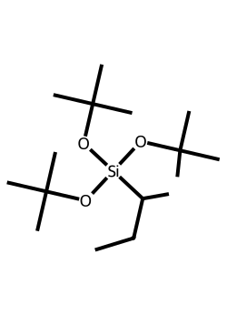 CCC(C)[Si](OC(C)(C)C)(OC(C)(C)C)OC(C)(C)C